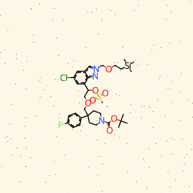 CC(C)(C)OC(=O)N1CCC(COCC(OS(C)(=O)=O)c2cc(Cl)cc3cn(COCC[Si](C)(C)C)nc23)(c2ccc(F)cc2)CC1